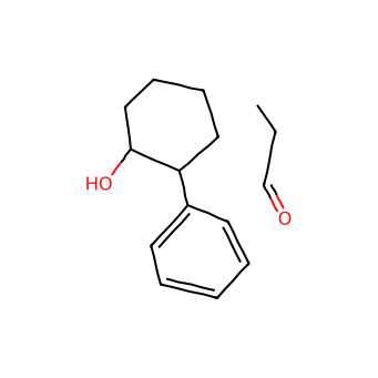 CCC=O.OC1CCCCC1c1ccccc1